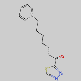 O=C(CCCCCCc1ccccc1)c1nncs1